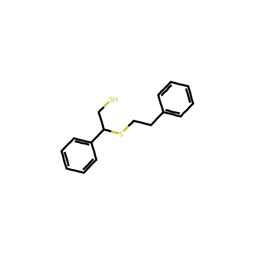 SCC(SCCc1ccccc1)c1ccccc1